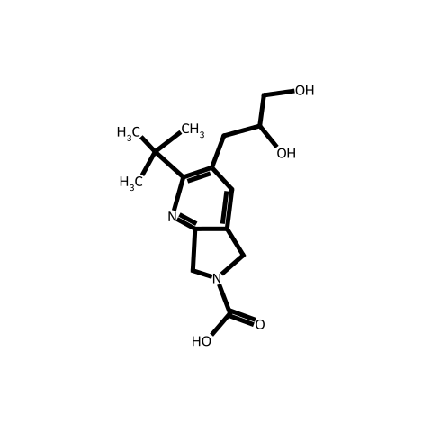 CC(C)(C)c1nc2c(cc1CC(O)CO)CN(C(=O)O)C2